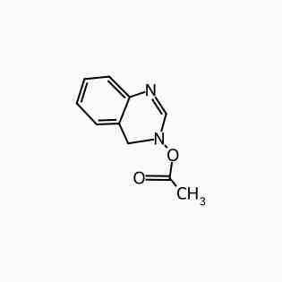 CC(=O)ON1C=Nc2ccccc2C1